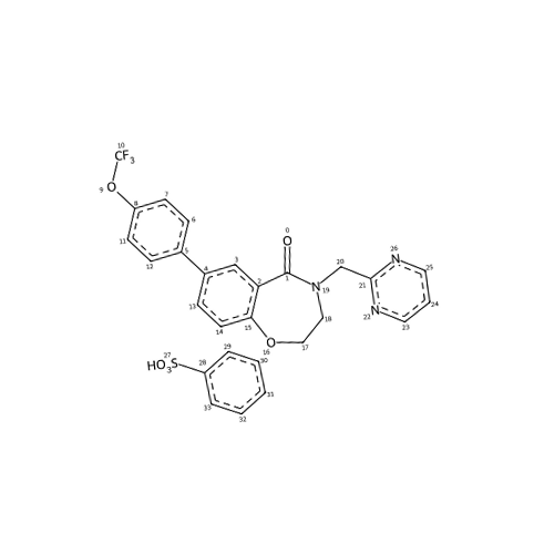 O=C1c2cc(-c3ccc(OC(F)(F)F)cc3)ccc2OCCN1Cc1ncccn1.O=S(=O)(O)c1ccccc1